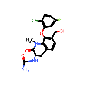 CN1C(=O)[C@H](NC(N)=O)Cc2ccc(CO)c(Oc3cc(F)ccc3Cl)c21